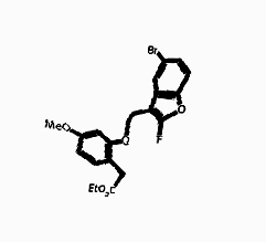 CCOC(=O)Cc1ccc(OC)cc1OCc1c(F)oc2ccc(Br)cc12